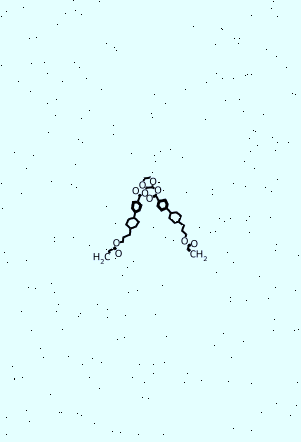 C=CC(=O)OCCCC1CCC(c2ccc(C(=O)OC3OCCOC3OC(=O)c3ccc(C4CCC(CCCOC(=O)C=C)CC4)cc3)cc2)CC1